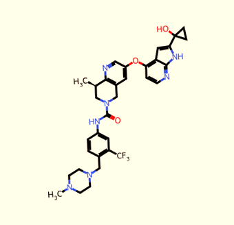 C[C@@H]1CN(C(=O)Nc2ccc(CN3CCN(C)CC3)c(C(F)(F)F)c2)Cc2cc(Oc3ccnc4[nH]c(C5(O)CC5)cc34)cnc21